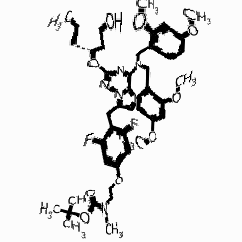 CCC[C@H](CCO)Oc1nc(N(Cc2ccc(OC)cc2OC)Cc2ccc(OC)cc2OC)c2ncc(Cc3c(F)cc(OCCN(C)C(=O)OC(C)(C)C)cc3F)n2n1